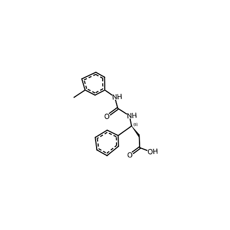 Cc1cccc(NC(=O)N[C@@H](CC(=O)O)c2ccccc2)c1